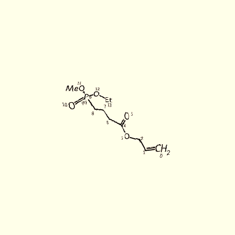 C=CCOC(=O)CCC[P@@](=O)(OC)OCC